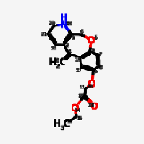 C=C1C2=C(COc3ccc(OCC(=O)OCC)cc31)NCC=C2